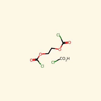 O=C(Cl)OCCOC(=O)Cl.O=C(O)Cl